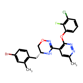 Cc1cc(C2=NOC[C@@H](Cc3ccc(Br)cc3C)N2)c(Oc2cccc(Cl)c2F)nn1